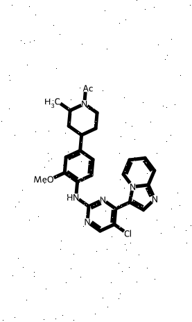 COc1cc(C2CCN(C(C)=O)C(C)C2)ccc1Nc1ncc(Cl)c(-c2cnc3ccccn23)n1